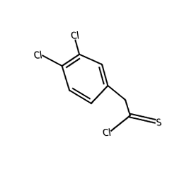 S=C(Cl)Cc1ccc(Cl)c(Cl)c1